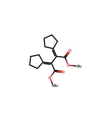 CCCCOC(=O)C(=C1CCCC1)C(C(=O)OCCCC)=C1CCCC1